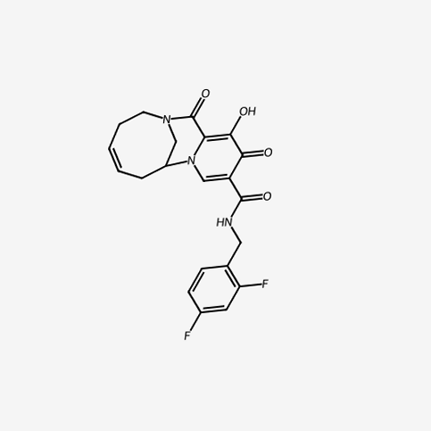 O=C(NCc1ccc(F)cc1F)c1cn2c(c(O)c1=O)C(=O)N1CC/C=C\CC2C1